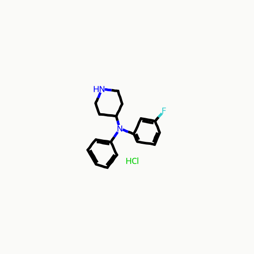 Cl.Fc1cccc(N(c2ccccc2)C2CCNCC2)c1